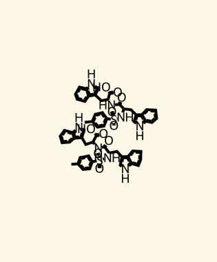 Cc1ccc(S(=O)(=O)NC(Cc2c[nH]c3ccccc23)C(=O)NC(Cc2c[nH]c3ccccc23)C(=O)O)cc1.Cc1ccc(S(=O)(=O)NC(Cc2c[nH]c3ccccc23)C(=O)NC(Cc2c[nH]c3ccccc23)C(=O)O)cc1